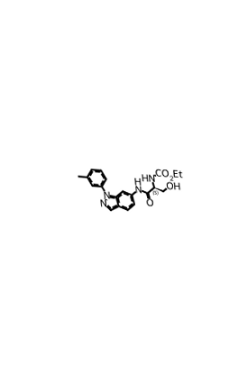 CCOC(=O)N[C@@H](CO)C(=O)Nc1ccc2cnn(-c3cccc(C)c3)c2c1